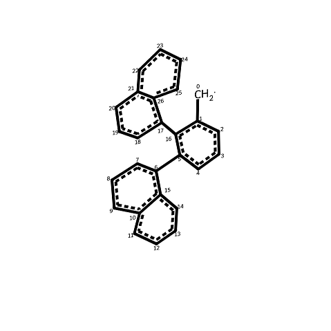 [CH2]c1cccc(-c2cccc3ccccc23)c1-c1cccc2ccccc12